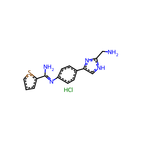 Cl.NCc1nc(-c2ccc(/N=C(\N)c3cccs3)cc2)c[nH]1